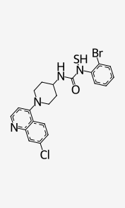 O=C(NC1CCN(c2ccnc3cc(Cl)ccc23)CC1)N(S)c1ccccc1Br